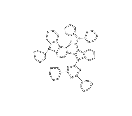 c1ccc(-c2nc(-c3ccccc3)nc(-n3c4ccccc4c4c3c3ccc5c(c6ccccc6n5-c5ccccc5)c3c3c5ccccc5n(-c5ccccc5)c34)n2)cc1